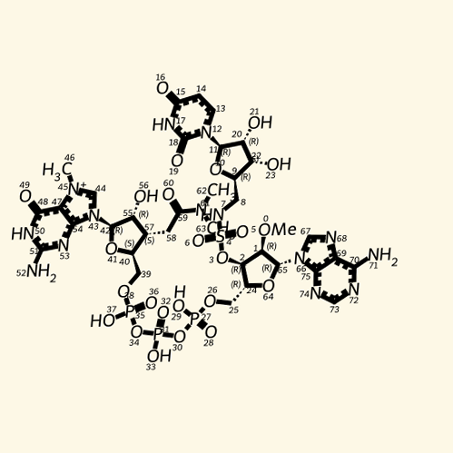 CO[C@@H]1[C@H](OS(=O)(=O)NC[C@H]2O[C@@H](n3ccc(=O)[nH]c3=O)[C@H](O)[C@@H]2O)[C@@H](COP(=O)(O)OP(=O)(O)OP(=O)(O)OC[C@H]2O[C@@H](n3c[n+](C)c4c(=O)[nH]c(N)nc43)[C@H](O)[C@@H]2CC(=O)N(C)C)O[C@H]1n1cnc2c(N)ncnc21